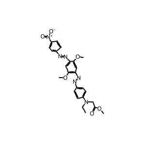 CCN(CC(=O)OC)c1ccc(N=Nc2cc(OC)c(N=Nc3ccc([N+](=O)[O-])cc3)cc2OC)cc1